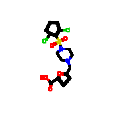 O=C(O)c1ccc(CN2CCN(S(=O)(=O)c3c(Cl)cccc3Cl)CC2)o1